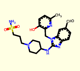 Cc1ccc(O)c(Cn2c(NC3CCN(CCCS(N)(=O)=O)CC3)nc3ccc(C=O)cc32)n1